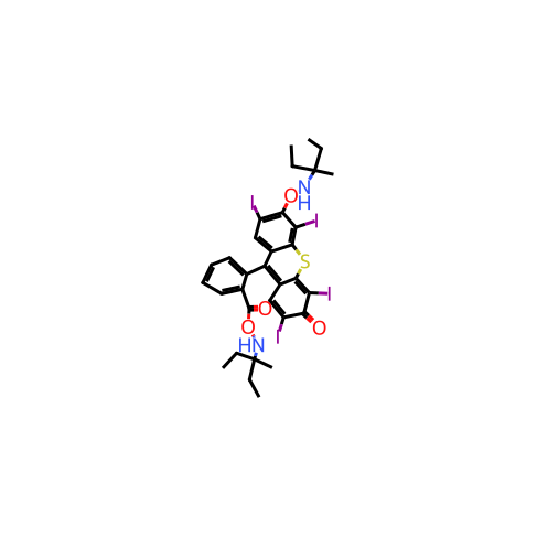 CCC(C)(CC)NOC(=O)c1ccccc1-c1c2cc(I)c(=O)c(I)c-2sc2c(I)c(ONC(C)(CC)CC)c(I)cc12